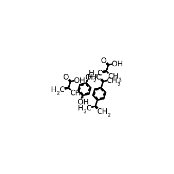 C=C(C)C(=O)O.C=C(C)C(=O)O.C=C(C)c1ccc(C(=C)C)cc1.Oc1ccc(O)cc1